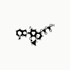 COc1c(N2CC3=CCCN(C)C3C2)c(F)cc2c1N(C1CC1)C=CC2OC(=O)OC(=O)O